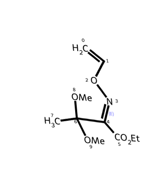 C=CO/N=C(/C(=O)OCC)C(C)(OC)OC